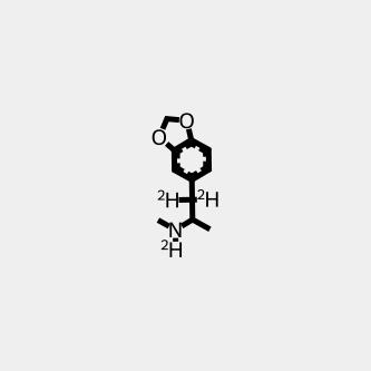 [2H]N(C)C(C)C([2H])([2H])c1ccc2c(c1)OCO2